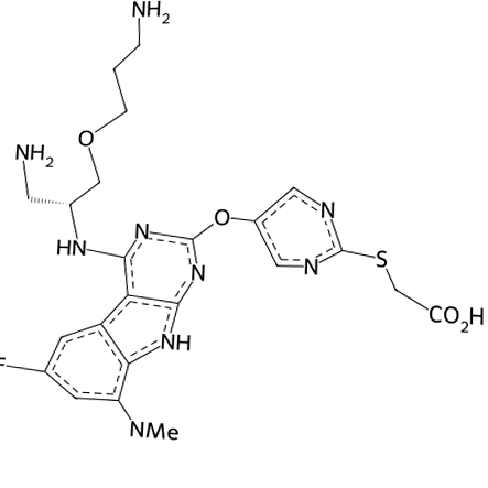 CNc1cc(F)cc2c1[nH]c1nc(Oc3cnc(SCC(=O)O)nc3)nc(N[C@H](CN)COCCCN)c12